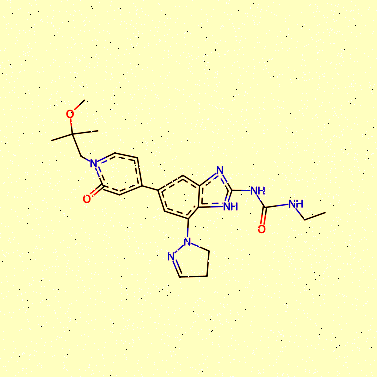 CCNC(=O)Nc1nc2cc(-c3ccn(CC(C)(C)OC)c(=O)c3)cc(N3CCC=N3)c2[nH]1